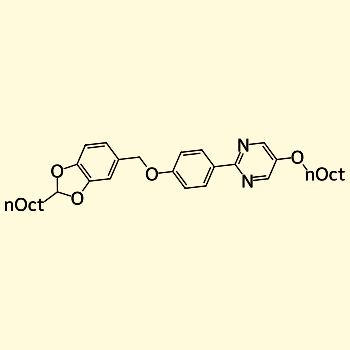 CCCCCCCCOc1cnc(-c2ccc(OCc3ccc4c(c3)OC(CCCCCCCC)O4)cc2)nc1